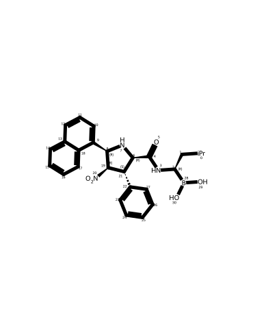 CC(C)C[C@H](NC(=O)[C@@H]1N[C@H](c2cccc3ccccc23)[C@H]([N+](=O)[O-])[C@H]1c1ccccc1)B(O)O